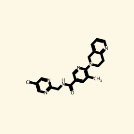 Cc1cc(C(=O)NCc2ncc(Cl)cn2)cnc1N1CCc2ncccc2C1